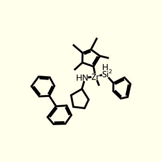 CC1=C(C)C(C)[C]([Zr]([CH3])([NH]C2CCCC2)[SiH2]c2ccccc2)=C1C.c1ccc(-c2ccccc2)cc1